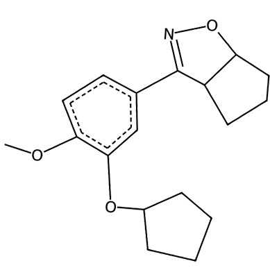 COc1ccc(C2=NOC3CCCC23)cc1OC1CCCC1